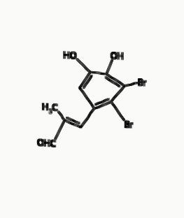 C/C(C=O)=C\c1cc(O)c(O)c(Br)c1Br